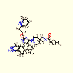 C=CC(=O)N1CC2(CCN(c3nc(OCCc4ccccn4)nc(-c4c(C)ccc5[nH]ncc45)c3C#N)CC2)C1